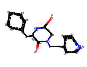 O=C1CN(Cc2ccncc2)C(=O)C(Cc2ccccc2)N1